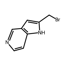 BrCc1cc2cnccc2[nH]1